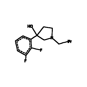 CC(C)CN1CCC(O)(c2cccc(F)c2F)C1